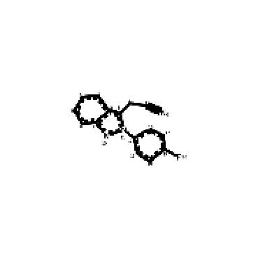 N#CCc1c2ccccc2nn1-c1ccc(F)cc1